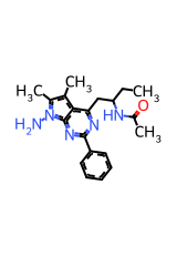 CCC(Cc1nc(-c2ccccc2)nc2c1c(C)c(C)n2N)NC(C)=O